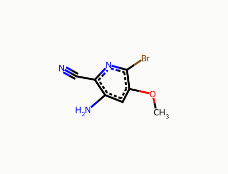 COc1cc(N)c(C#N)nc1Br